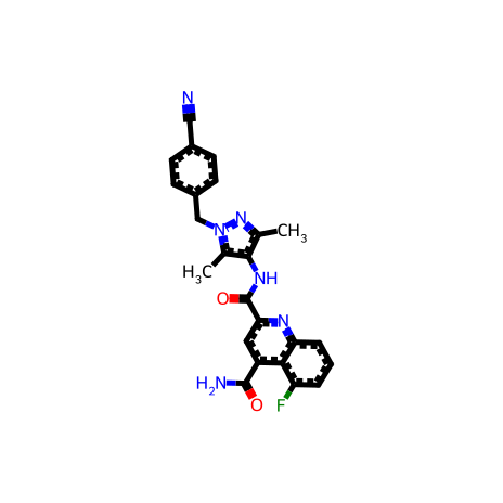 Cc1nn(Cc2ccc(C#N)cc2)c(C)c1NC(=O)c1cc(C(N)=O)c2c(F)cccc2n1